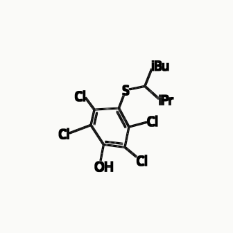 CCC(C)C(Sc1c(Cl)c(Cl)c(O)c(Cl)c1Cl)C(C)C